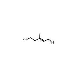 [2H]C/C=C(\C)CC[2H]